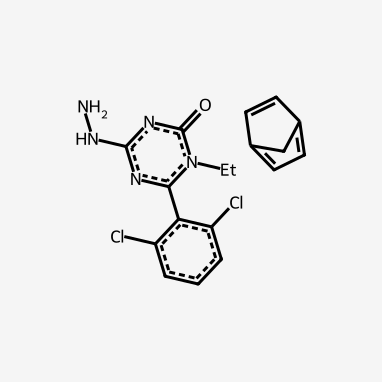 C1=CC2=CC=C1C2.CCn1c(-c2c(Cl)cccc2Cl)nc(NN)nc1=O